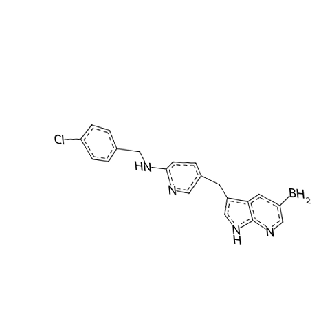 Bc1cnc2[nH]cc(Cc3ccc(NCc4ccc(Cl)cc4)nc3)c2c1